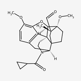 COc1ccc2c3c1O[C@@H]1[C@]34CCN(C(=O)C3CC3)[C@H](C2)C42CC[C@@]1(OC)[C@@](C)(C=O)C2